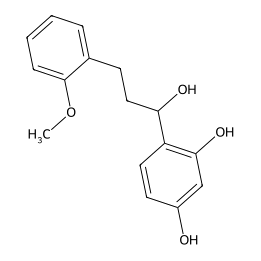 COc1ccccc1CCC(O)c1ccc(O)cc1O